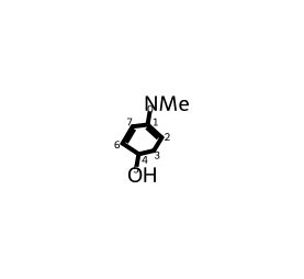 CNC1=CCC(O)C=C1